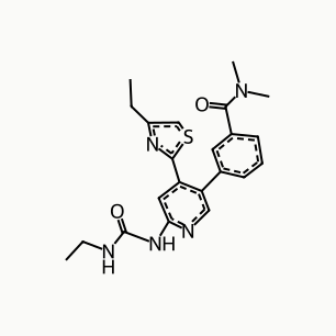 CCNC(=O)Nc1cc(-c2nc(CC)cs2)c(-c2cccc(C(=O)N(C)C)c2)cn1